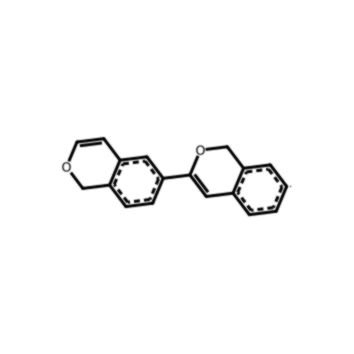 [c]1ccc2c(c1)COC(c1ccc3c(c1)C=COC3)=C2